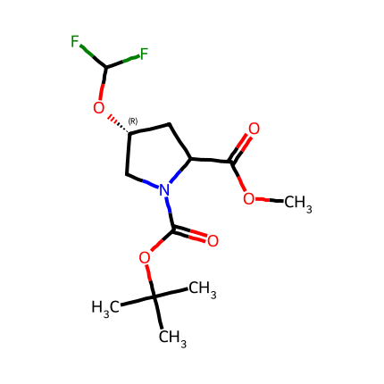 COC(=O)C1C[C@@H](OC(F)F)CN1C(=O)OC(C)(C)C